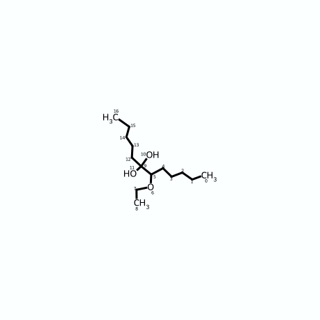 CCCCCC(OCC)C(O)(O)CCCCC